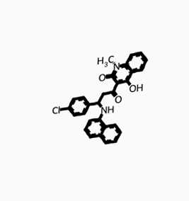 Cn1c(=O)c(C(=O)CC(Nc2cccc3ccccc23)c2ccc(Cl)cc2)c(O)c2ccccc21